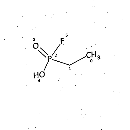 CCP(=O)(O)F